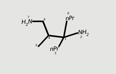 CCCC(N)(CCC)C(C)CN